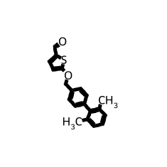 Cc1cccc(C)c1-c1ccc(COc2ccc(C=O)s2)cc1